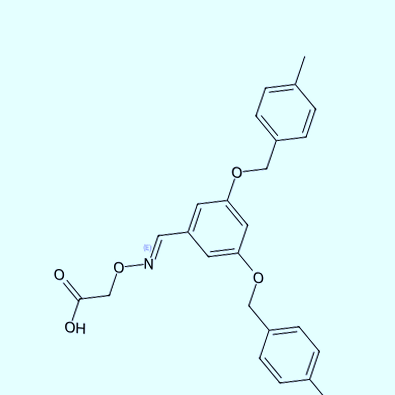 Cc1ccc(COc2cc(/C=N/OCC(=O)O)cc(OCc3ccc(C)cc3)c2)cc1